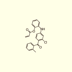 C=CC(=O)Oc1ccccc1Nc1ccc(C(=O)c2ccccc2C)c(Cl)c1